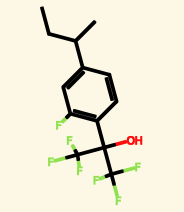 CCC(C)c1ccc(C(O)(C(F)(F)F)C(F)(F)F)c(F)c1